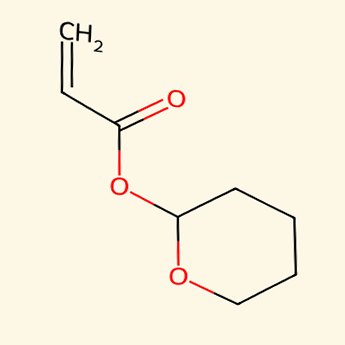 C=CC(=O)OC1CCCCO1